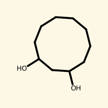 OC1CCCCCCCC(O)C1